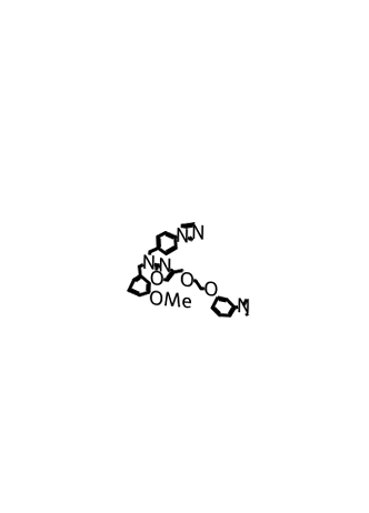 COc1cccc(CN(Cc2ccc(-n3ccnc3)cc2)c2nc(COCCOc3cccc(N(C)C)c3)co2)c1